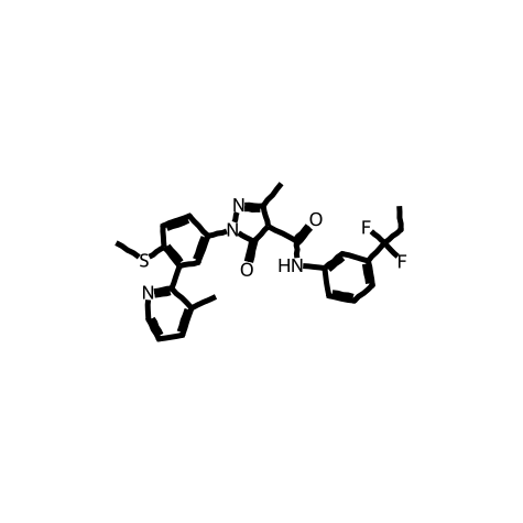 CCC(F)(F)c1cccc(NC(=O)C2C(=O)N(c3ccc(SC)c(-c4ncccc4C)c3)N=C2C)c1